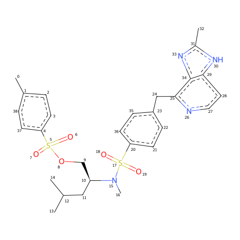 Cc1ccc(S(=O)(=O)OC[C@H](CC(C)C)N(C)S(=O)(=O)c2ccc(Cc3nccc4[nH]c(C)nc34)cc2)cc1